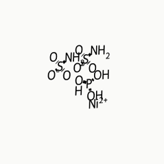 NS(=O)(=O)[O-].NS(=O)(=O)[O-].OP(O)O.[Ni+2]